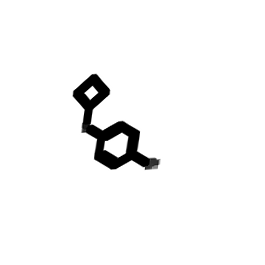 CC(C)c1ccc(SC2CCC2)cc1